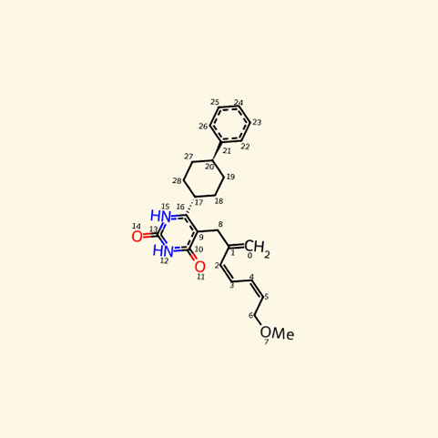 C=C(/C=C\C=C/COC)Cc1c(=O)[nH]c(=O)[nH]c1[C@H]1CC[C@H](c2ccccc2)CC1